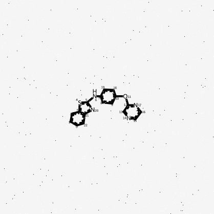 c1ccc2sc(Nc3ccc(Oc4cnccn4)cc3)nc2c1